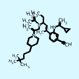 C#Cc1ccc(/C(C)=C/C(CC)N(CC(=C)N2CCC(CCCC(C)(C)C)CC2)C(=C)C)c(NC(=C)C2CC2)c1